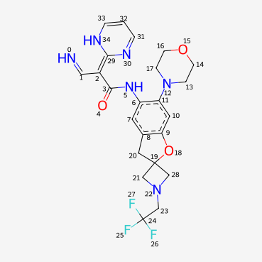 N=C/C(C(=O)Nc1cc2c(cc1N1CCOCC1)OC1(C2)CN(CC(F)(F)F)C1)=C1/N=CC=CN1